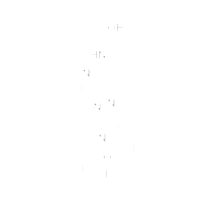 CC(F)(F)COc1ncc(Cn2cc3c(C(=O)NCCO)nccc3n2)cc1Cl